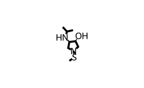 CSN1C[C@@H](O)[C@H](NC(C)C)C1